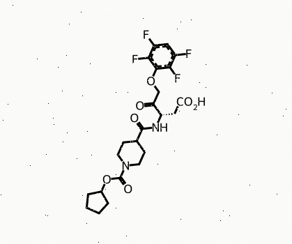 O=C(O)C[C@H](NC(=O)C1CCN(C(=O)OC2CCCC2)CC1)C(=O)COc1c(F)c(F)cc(F)c1F